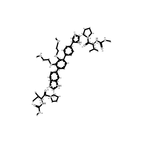 COCCOc1c(-c2ccc(-c3cnc([C@@H]4CCCN4C(=O)[C@@H](NC(=O)OC)C(C)C)[nH]3)cc2)ccc(-c2ccc3nc([C@@H]4CCCN4C(=O)[C@@H](NC(=O)OC)C(C)C)[nH]c3c2)c1OCCOC